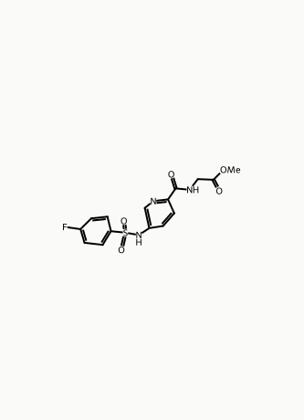 COC(=O)CNC(=O)c1ccc(NS(=O)(=O)c2ccc(F)cc2)cn1